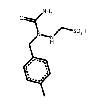 Cc1ccc(CN(NCS(=O)(=O)O)C(N)=O)cc1